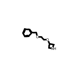 c1ccc(COCCOC2CNC2)cc1